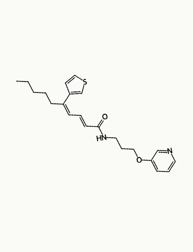 CCCCCC(=CC=CC(=O)NCCCOc1cccnc1)c1ccsc1